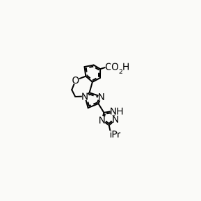 CC(C)c1n[nH]c(-c2cn3c(n2)-c2cc(C(=O)O)ccc2OCC3)n1